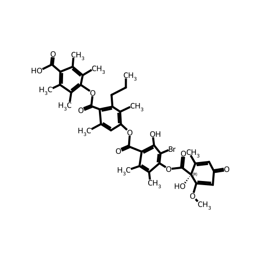 CCCc1c(C)c(OC(=O)c2c(C)c(C)c(OC(=O)[C@@]3(O)C(C)=CC(=O)C=C3OC)c(Br)c2O)cc(C)c1C(=O)Oc1c(C)c(C)c(C(=O)O)c(C)c1C